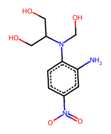 Nc1cc([N+](=O)[O-])ccc1N(CO)C(CO)CO